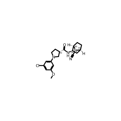 COc1cc(Cl)cc(N2CC[C@H](C(=O)N[C@@H]3C[C@@H]4CC[C@H]3N4C#N)C2)c1